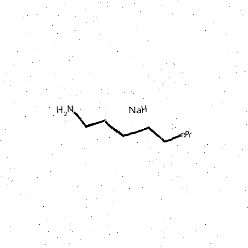 CCCCCCCCN.[NaH]